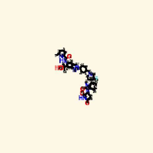 Cc1cccc(C(=O)Nc2cc3cn([C@H]4CC[C@H](CN5CC[C@H](c6cccc7c6n(C)c(=O)n7C6CCC(=O)NC6=O)[C@H](F)C5)CC4)nc3cc2C(C)(C)O)n1